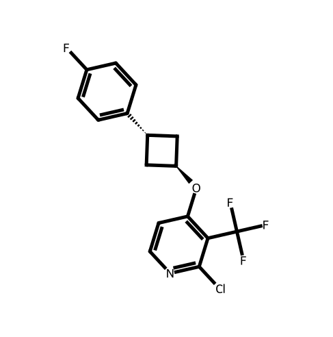 Fc1ccc([C@H]2C[C@H](Oc3ccnc(Cl)c3C(F)(F)F)C2)cc1